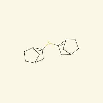 C1CC2CC1=C(SC1=C3CCC(C3)C1)C2